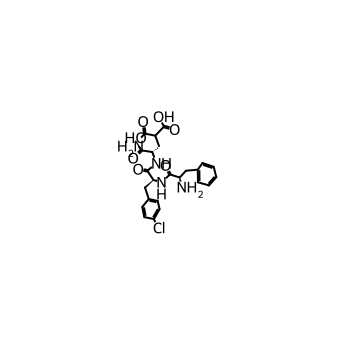 NC(=O)[C@H](CC(C(=O)O)C(=O)O)NC(=O)[C@H](Cc1ccc(Cl)cc1)NC(=O)[C@H](N)Cc1ccccc1